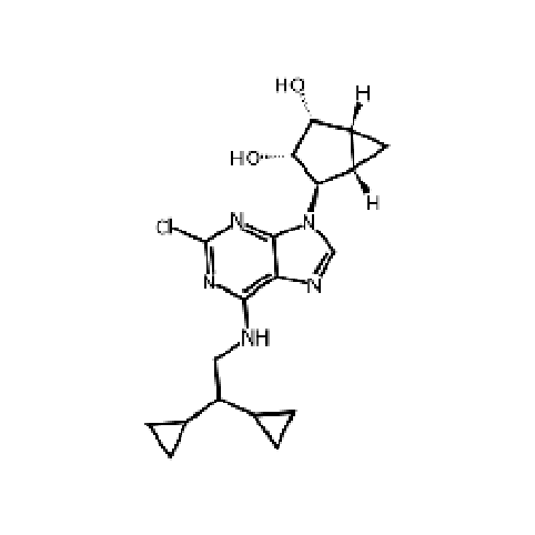 O[C@@H]1[C@H](O)[C@@H]2C[C@@H]2[C@H]1n1cnc2c(NCC(C3CC3)C3CC3)nc(Cl)nc21